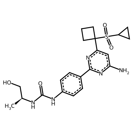 C[C@@H](CO)NC(=O)Nc1ccc(-c2nc(N)cc(C3(S(=O)(=O)C4CC4)CCC3)n2)cc1